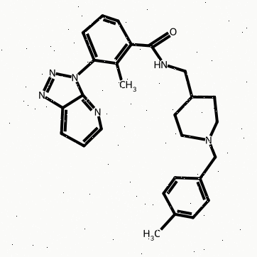 Cc1ccc(CN2CCC(CNC(=O)c3cccc(-n4nnc5cccnc54)c3C)CC2)cc1